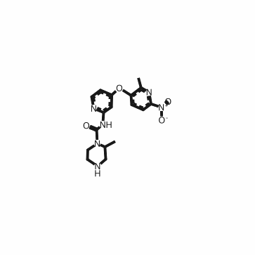 Cc1nc([N+](=O)[O-])ccc1Oc1ccnc(NC(=O)N2CCNCC2C)c1